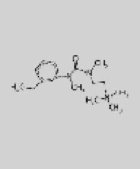 CCc1cccc(N(C)C(=O)N(C)CC[N+](C)(C)C)c1